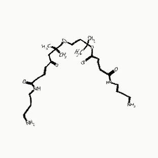 CC(C)(CC(=O)CCC(=O)NCCCN)OCCC(C)(C)OC(=O)CCC(=O)NCCCN